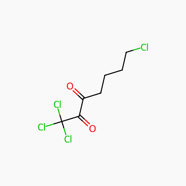 O=C(CCCCCl)C(=O)C(Cl)(Cl)Cl